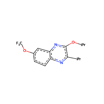 CC(C)Oc1nc2cc(OC(F)(F)F)ccc2nc1C(C)C